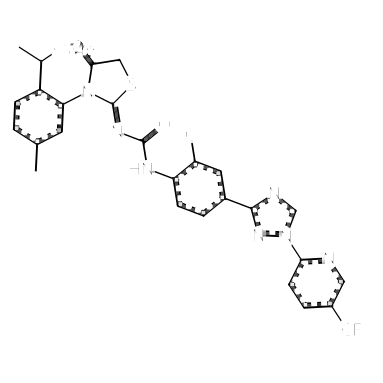 COC(C)c1ccc(C)cc1N1C(=O)CSC1=NC(=O)Nc1ccc(-c2ncn(-c3ccc(C(F)(F)F)cn3)n2)cc1Cl